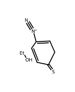 CCO.N#[N+]C1=CCC(=S)C=C1